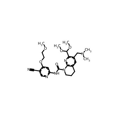 COCCOc1cc(NC(=O)N2CCCc3cc(CN(C)C)c(C(OC)OC)nc32)ncc1C#N